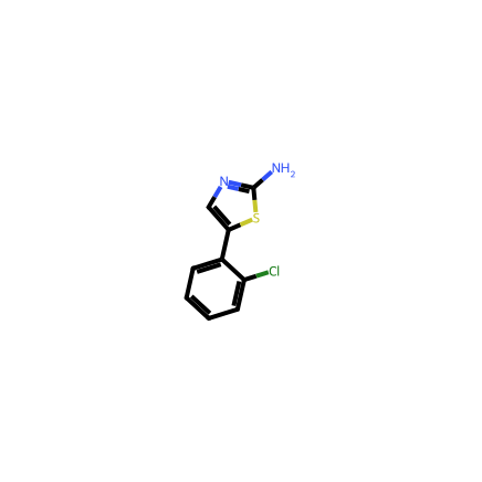 Nc1ncc(-c2ccccc2Cl)s1